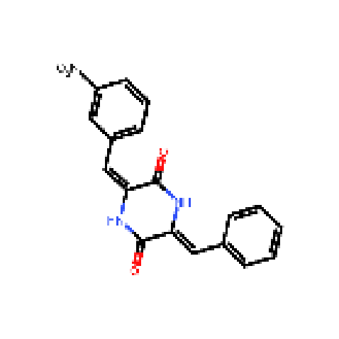 O=c1[nH]c(=Cc2cccc([N+](=O)[O-])c2)c(=O)[nH]c1=Cc1ccccc1